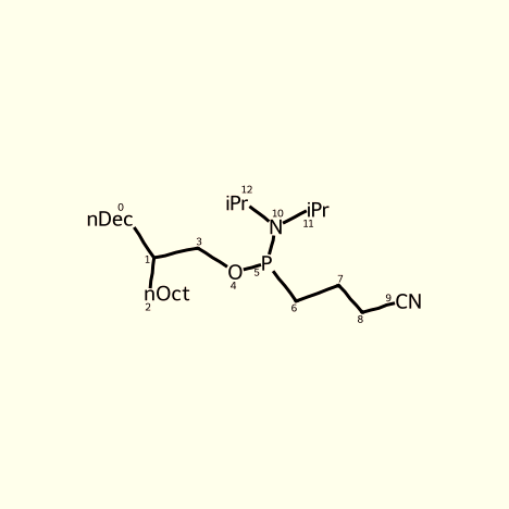 CCCCCCCCCCC(CCCCCCCC)COP(CCCC#N)N(C(C)C)C(C)C